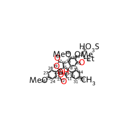 CCC(CCS(=O)(=O)O)Oc1cc(C(C2=COCO2)(C2=CC(=O)OC2(O)c2ccc(OC)cc2)c2ccc(C)cc2)cc(OC)c1OC